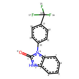 O=c1[nH]c2c[c]ccc2n1-c1ccc(C(F)(F)F)cc1